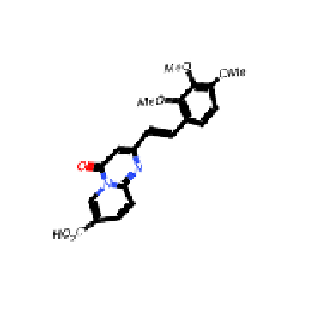 COc1ccc(C=Cc2cc(=O)n3cc(C(=O)O)ccc3n2)c(OC)c1OC